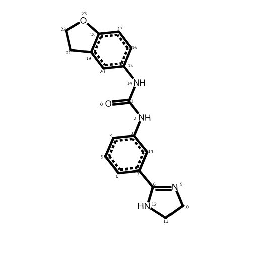 O=C(Nc1cccc(C2=NCCN2)c1)Nc1ccc2c(c1)CCO2